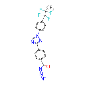 [N-]=[N+]=NC(=O)c1ccc(-c2ncn(-c3ccc(C(F)(F)C(F)(F)C(F)(F)F)cc3)n2)cc1